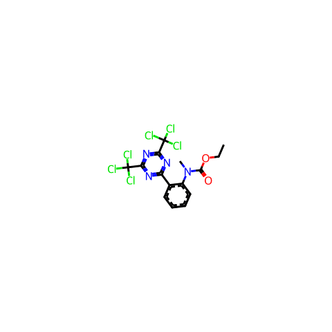 CCOC(=O)N(C)c1ccccc1-c1nc(C(Cl)(Cl)Cl)nc(C(Cl)(Cl)Cl)n1